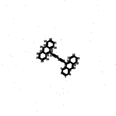 C(C#Cc1c2ccccc2cc2ccccc12)#Cc1c2ccccc2cc2ccccc12